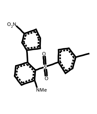 CNc1cccc(-c2cccc([N+](=O)[O-])c2)c1S(=O)(=O)c1ccc(C)cc1